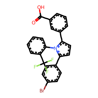 O=C(O)c1cccc(-c2ccc(-c3ccc(Br)cc3)n2-c2ccccc2C(F)(F)F)c1